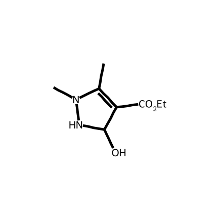 CCOC(=O)C1=C(C)N(C)NC1O